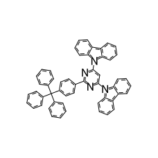 c1ccc(C(c2ccccc2)(c2ccccc2)c2ccc(-c3nc(-n4c5ccccc5c5ccccc54)cc(-n4c5ccccc5c5ccccc54)n3)cc2)cc1